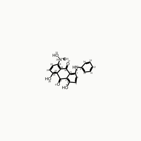 O=C1c2c(O)ccc(Nc3ccccc3)c2C(=O)c2c([N+](=O)O)ccc(O)c21